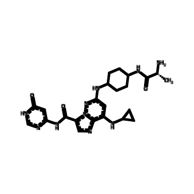 C[C@@H](N)C(=O)NC1CCC(Nc2cc(NC3CC3)c3ncc(C(=O)Nc4cc(=O)[nH]cn4)n3n2)CC1